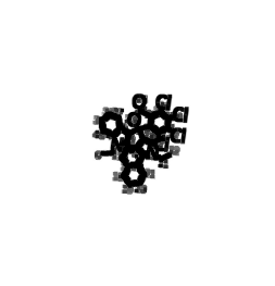 CCn1c(C)c(C2(c3c(C)n(CC)c4c3ccc3ccccc34)OC(=O)c3c(Cl)c(Cl)c(Cl)c(Cl)c32)c2ccccc21